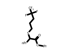 CCCC(SCCCC(F)(F)C(F)(F)F)C(=O)OC(C)C